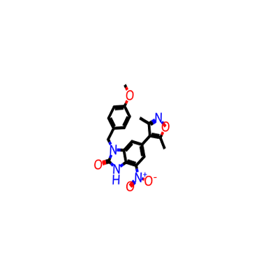 COc1ccc(Cn2c(=O)[nH]c3c([N+](=O)[O-])cc(-c4c(C)noc4C)cc32)cc1